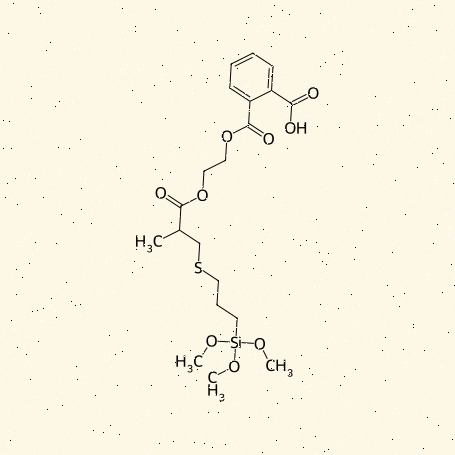 CO[Si](CCCSCC(C)C(=O)OCCOC(=O)c1ccccc1C(=O)O)(OC)OC